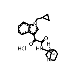 Cl.O=C(N[C@@H]1CN2CCC1CC2)C(=O)c1cn(CC2CC2)c2ccccc12